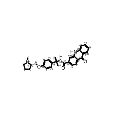 CN1CCC[C@H]1COc1ccc(C(C)(C)NC(=O)c2ccc3c(=O)c4ccccc4[nH]c3c2)cc1